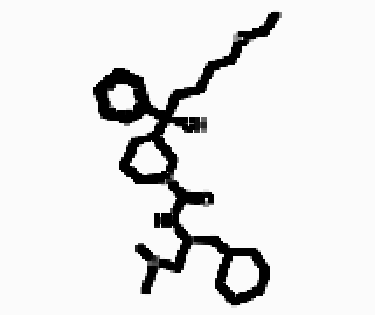 CCOCCCC[C@@](O)(c1ccccc1)[C@@H]1CCCN(C(=O)N[C@@H](CC2CCCCC2)CN(C)C)C1